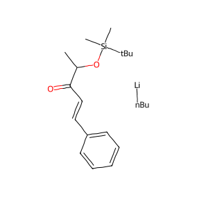 CC(O[Si](C)(C)C(C)(C)C)C(=O)C=Cc1ccccc1.[Li][CH2]CCC